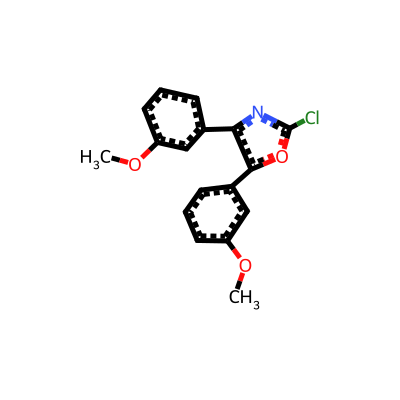 COc1cccc(-c2nc(Cl)oc2-c2cccc(OC)c2)c1